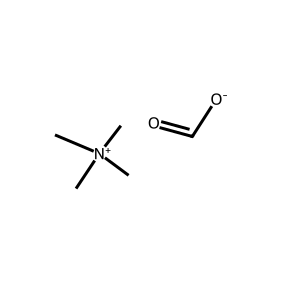 C[N+](C)(C)C.O=C[O-]